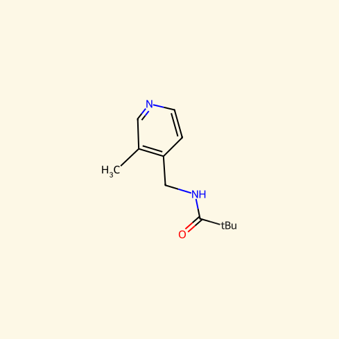 Cc1cnccc1CNC(=O)C(C)(C)C